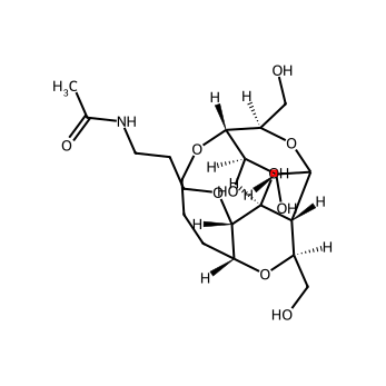 CC(=O)NCCCO[C@@H]1[C@@H](O)[C@@H]2C3O[C@H](CO)[C@@H](OCCC[C@H]1O[C@@H]2CO)[C@H](O)[C@H]3O